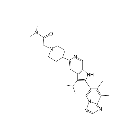 Cc1c(-c2[nH]c3cnc(C4CCN(CC(=O)N(C)C)CC4)cc3c2C(C)C)cn2ncnc2c1C